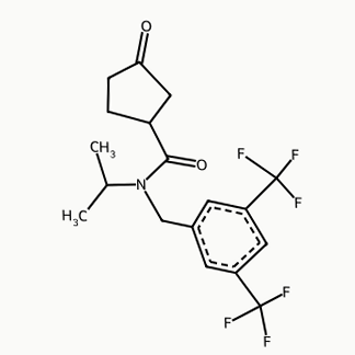 CC(C)N(Cc1cc(C(F)(F)F)cc(C(F)(F)F)c1)C(=O)C1CCC(=O)C1